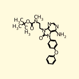 CN(CCn1c(=O)n(-c2ccc(Oc3ccccc3)cc2)c2c(N)ncnc21)C(=O)OC(C)(C)C